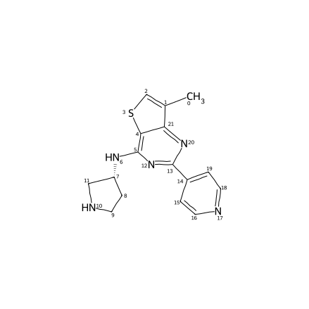 Cc1csc2c(N[C@@H]3CCNC3)nc(-c3ccncc3)nc12